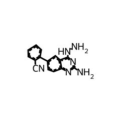 N#Cc1ccccc1-c1ccc2nc(N)nc(NN)c2c1